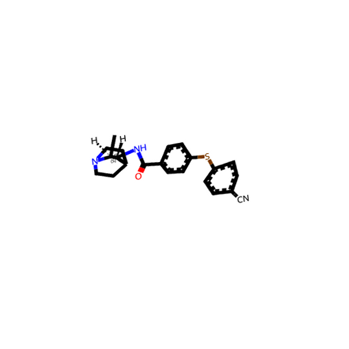 C[C@H]1[C@H](NC(=O)c2ccc(Sc3ccc(C#N)cc3)cc2)C2CCN1CC2